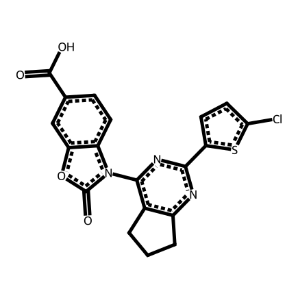 O=C(O)c1ccc2c(c1)oc(=O)n2-c1nc(-c2ccc(Cl)s2)nc2c1CCC2